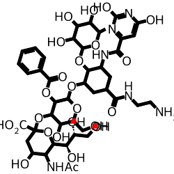 CC(=O)NC1C(O)CC(OC2C(O)C(CO)OC(OC3CC(C(=O)NCCN)CC(NC(=O)c4cc(O)nc(O)n4)C3OC3OC(C)C(O)C(O)C3O)C2OC(=O)c2ccccc2)(C(=O)O)OC1[C@H](O)[C@H](O)CO